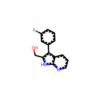 OCc1[nH]c2ncccc2c1-c1cccc(F)c1